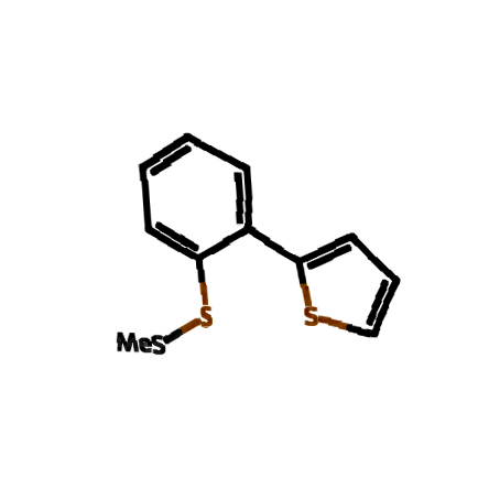 CSSc1ccccc1-c1cccs1